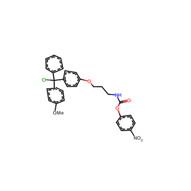 COc1ccc(C(Cl)(c2ccccc2)c2ccc(OCCCNC(=O)Oc3ccc([N+](=O)[O-])cc3)cc2)cc1